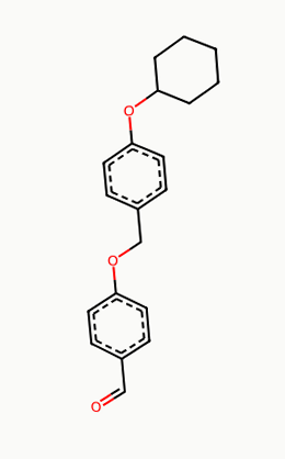 O=Cc1ccc(OCc2ccc(OC3CCCCC3)cc2)cc1